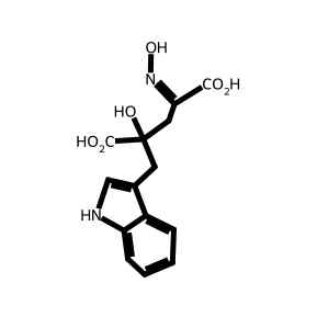 O=C(O)C(CC(O)(Cc1c[nH]c2ccccc12)C(=O)O)=NO